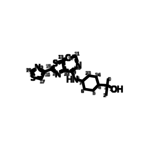 CC(C)(O)C1CCC(Nc2nccc3sc(-c4cscn4)nc23)CC1